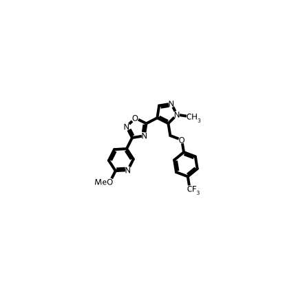 COc1ccc(-c2noc(-c3cnn(C)c3COc3ccc(C(F)(F)F)cc3)n2)cn1